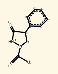 O=C1NN(C(=S)Cl)CC1c1ccccc1